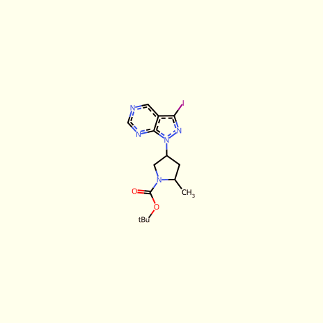 CC1CC(n2nc(I)c3cncnc32)CN1C(=O)OC(C)(C)C